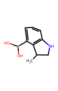 CC1CNc2cccc(B(O)O)c21